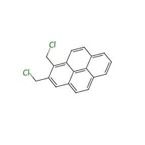 ClCc1cc2ccc3cccc4ccc(c1CCl)c2c34